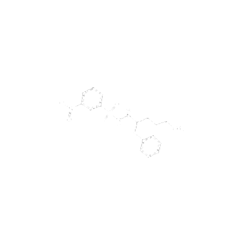 CCCCC(NNS(=O)(=O)c1cccc([N+](=O)[O-])c1)Sc1ccccc1